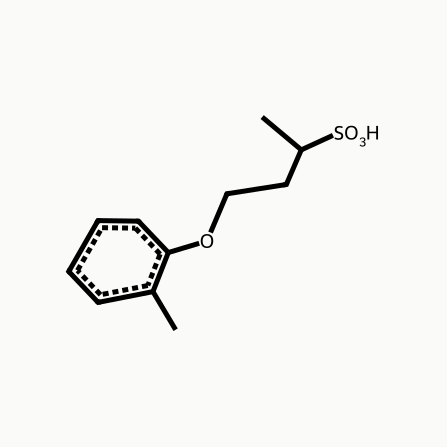 Cc1ccccc1OCCC(C)S(=O)(=O)O